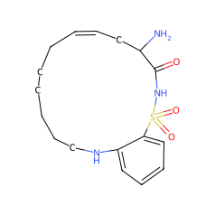 NC1C/C=C\CCCCCCNc2ccccc2S(=O)(=O)NC1=O